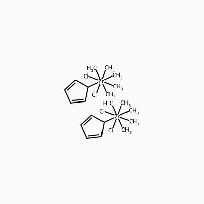 [CH3][Zr]([CH3])([CH3])([CH3])([CH3])([Cl])([Cl])[CH]1C=CC=C1.[CH3][Zr]([CH3])([CH3])([CH3])([CH3])([Cl])([Cl])[CH]1C=CC=C1